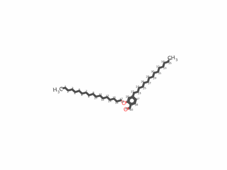 CCCCCCCCCCCCCCCCCCOc1cc(CCCCCCCCCCCCCCC)ccc1C=O